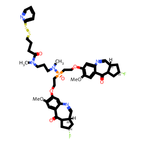 COc1cc2c(cc1OCCP(=O)(CCOc1cc3c(cc1OC)C(=O)C1C[C@@H](F)C[C@H]1C=N3)N(C)CCCN(C)C(=O)CCCSSc1ccccn1)N=C[C@@H]1C[C@H](F)CC1C2=O